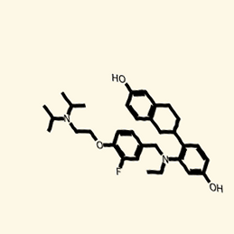 CCN(Cc1ccc(OCCN(C(C)C)C(C)C)c(F)c1)c1cc(O)ccc1C1CCc2cc(O)ccc2C1